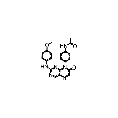 COc1ccc(Nc2ncc3ncc(=O)n(-c4ccc(NC(C)=O)cc4)c3n2)cc1